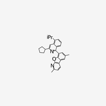 Cc1cc(-c2nc(C3CCCC3)cc3c(C(C)C)cccc23)c2oc3nc(C)ccc3c2c1